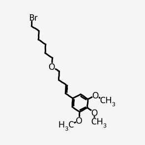 COc1cc(C=CCCOCCCCCCBr)cc(OC)c1OC